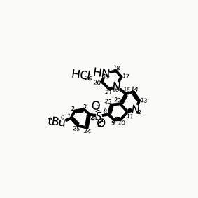 CC(C)(C)c1ccc(S(=O)(=O)c2ccc3nccc(N4CCNCC4)c3c2)cc1.Cl